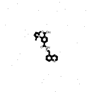 Cc1ccc(C)n1-c1cc(C(=O)N/N=C/c2cccc3ncccc23)ccc1C(=O)O